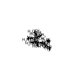 CC[C@H](C)[C@H](NC(=O)[C@@H](N)[C@H](O)C(C)C)C(=O)N[C@H](CCCNC(=N)N)C(=O)N[C@H](C(=O)N[C@H](C(=O)NCC(=O)N[C@@H](COC(=O)C(F)(F)F)C(=O)N[C@@H](COC(=O)C(F)(F)F)C(=O)O)[C@H](C)O)[C@@H](C)CC